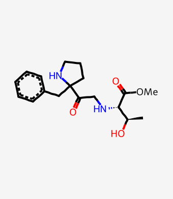 COC(=O)[C@@H](NCC(=O)C1(Cc2ccccc2)CCCN1)[C@@H](C)O